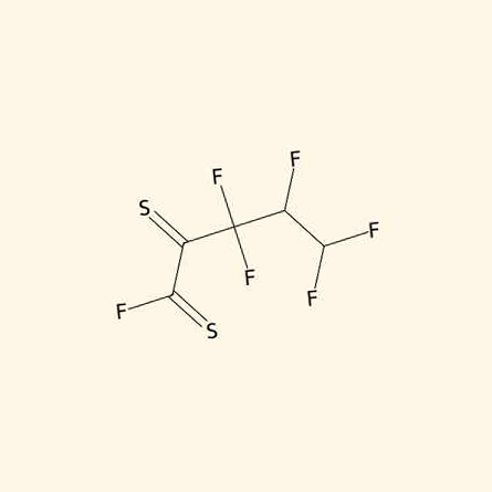 FC(=S)C(=S)C(F)(F)C(F)C(F)F